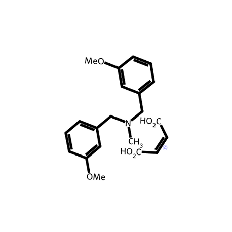 COc1cccc(CN(C)Cc2cccc(OC)c2)c1.O=C(O)/C=C\C(=O)O